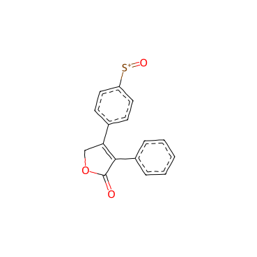 O=[S+]c1ccc(C2=C(c3ccccc3)C(=O)OC2)cc1